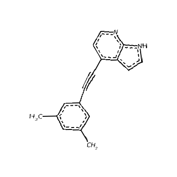 Cc1cc(C)cc(C#Cc2ccnc3[nH]ccc23)c1